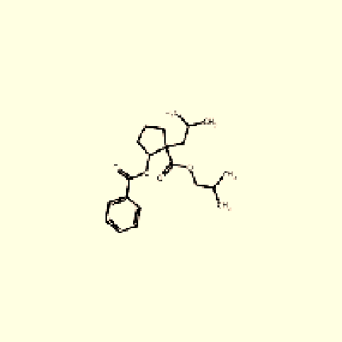 CC(C)COC(=O)C1(CC(C)C)CCCC1OC(=O)c1ccccc1